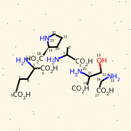 CC(N)C(=O)O.NC(CCC(=O)O)C(=O)O.NC(CO)C(=O)O.NCC(=O)O.O=C(O)[C@@H]1CCCN1